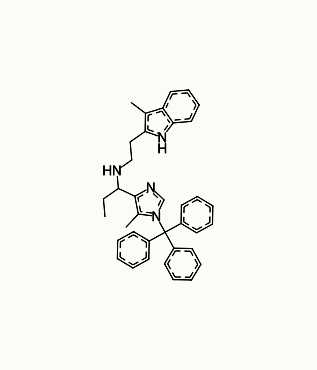 CCC(NCCc1[nH]c2ccccc2c1C)c1ncn(C(c2ccccc2)(c2ccccc2)c2ccccc2)c1C